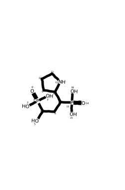 O=P(O)(O)C(O)CC(C1CCCN1)P(=O)(O)O